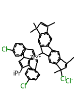 CC1=CC(C)(C)c2cc3c(cc21)-c1cc2c(cc1[CH]3[Zr+2](=[CH]c1ccc(Cl)cc1)(=[CH]c1ccc(Cl)cc1)[C]1=C(C)C(C(C)C)=CC1C)C(C)(C)C=C2C.[Cl-].[Cl-]